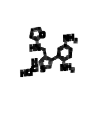 Cl.Cl.Nc1ccc(N)c(-c2cscc2CNc2ccco2)c1